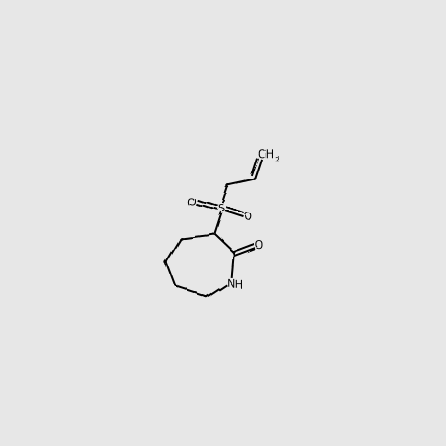 C=CCS(=O)(=O)C1CCCCNC1=O